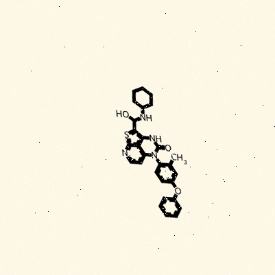 Cc1cc(Oc2ccccc2)ccc1N1C(=O)Nc2c(C(O)NC3CCCCC3)sc3nccc1c23